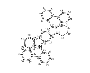 c1ccc(-c2ccccc2-n2c3c(c4cc5c(cc42)c2ccccc2n5-c2ccccc2-c2ccccc2)CCCC3)cc1